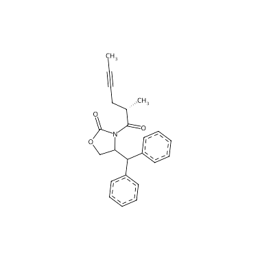 CC#CC[C@H](C)C(=O)N1C(=O)OCC1C(c1ccccc1)c1ccccc1